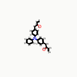 C=CC(=O)Cc1ccc(N(c2ccccc2)c2ccc(CC(=O)C=C)cc2)cc1